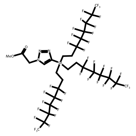 COC(=O)Cn1c[c]([Sn]([CH2]CC(F)(F)C(F)(F)C(F)(F)C(F)(F)C(F)(F)C(F)(F)F)([CH2]CC(F)(F)C(F)(F)C(F)(F)C(F)(F)C(F)(F)C(F)(F)F)[CH2]CC(F)(F)C(F)(F)C(F)(F)C(F)(F)C(F)(F)C(F)(F)F)nn1